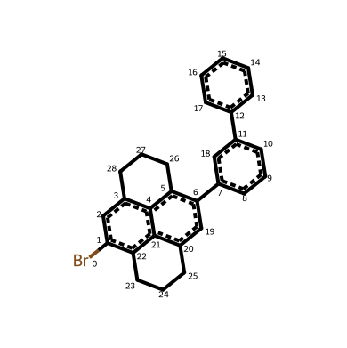 Brc1cc2c3c(c(-c4cccc(-c5ccccc5)c4)cc4c3c1CCC4)CCC2